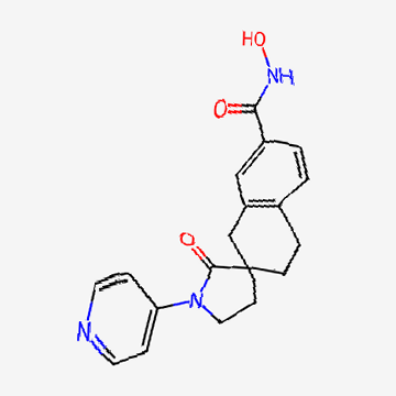 O=C(NO)c1ccc2c(c1)CC1(CC2)CCN(c2ccncc2)C1=O